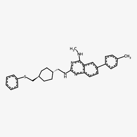 CNc1nc(NC[C@H]2CC[C@H](CSc3ccccc3)CC2)nc2ccc(-c3ccc(C)cc3)cc12